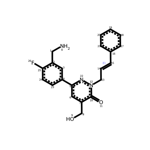 NCc1cc(-c2cc(CO)c(=O)n(C/C=C/c3ccccc3)n2)ccc1F